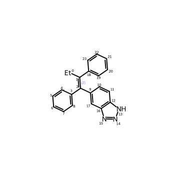 CC/C(=C(\c1[c]cccc1)c1ccc2[nH]nnc2c1)c1ccccc1